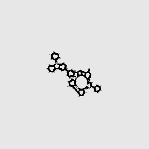 CC1C=CC2(C)C3=C1Cc1c(n(c4ccc(-c5ccc6c(c5)c5ccccc5n6-c5ccccc5)cc14)-c1cccc4c1oc1c(cccc14)-c1nc(-c4ccccc4)cc2n1)C3C